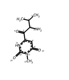 CC(C)C(N)C(=O)c1cc(=O)n(C)c(=O)[nH]1